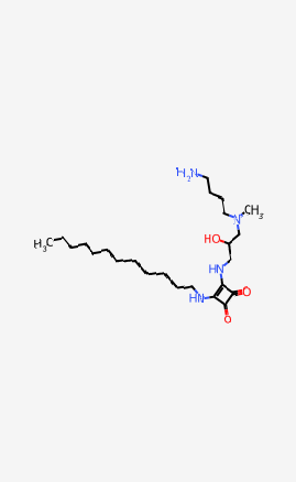 CCCCCCCCCCCCNc1c(NCC(O)CN(C)CCCCN)c(=O)c1=O